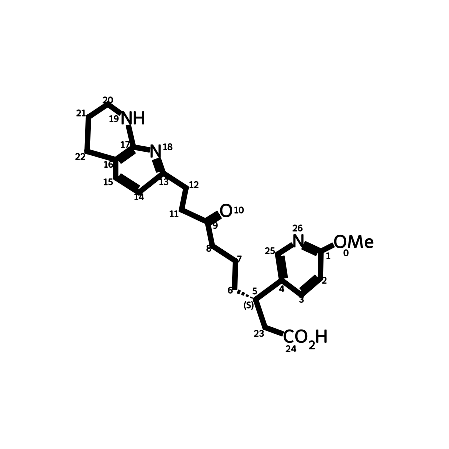 COc1ccc([C@@H](CCCC(=O)CCc2ccc3c(n2)NCCC3)CC(=O)O)cn1